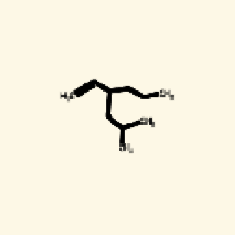 C=CC(CCC)CC(C)C